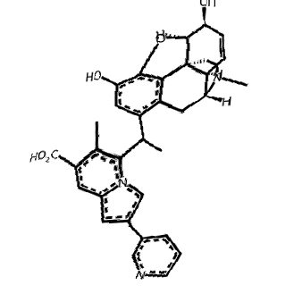 Cc1c(C(=O)O)cc2cc(-c3cccnc3)cn2c1C(C)c1cc(O)c2c3c1C[C@@H]1[C@@H]4C=C[C@H](O)[C@H](O2)[C@]34CCN1C